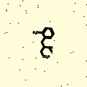 Cc1ccccc1CC(CC(=O)O)NI